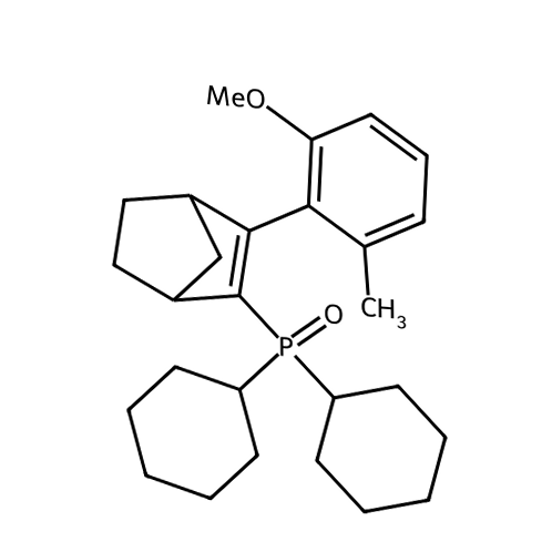 COc1cccc(C)c1C1=C(P(=O)(C2CCCCC2)C2CCCCC2)C2CCC1C2